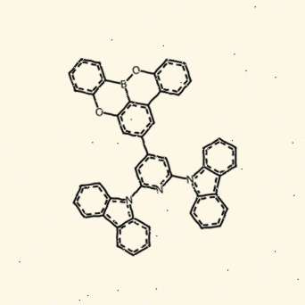 c1ccc2c(c1)Oc1cc(-c3cc(-n4c5ccccc5c5ccccc54)nc(-n4c5ccccc5c5ccccc54)c3)cc3c1B2Oc1ccccc1-3